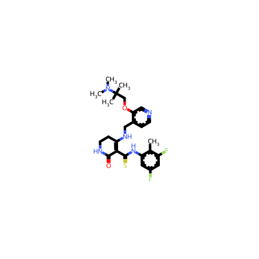 Cc1c(F)cc(F)cc1NC(=S)C1=C(NCc2ccncc2OCC(C)(C)N(C)C)CCNC1=O